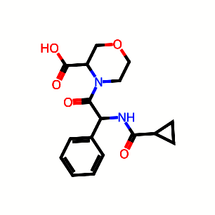 O=C(NC(C(=O)N1CCOCC1C(=O)O)c1ccccc1)C1CC1